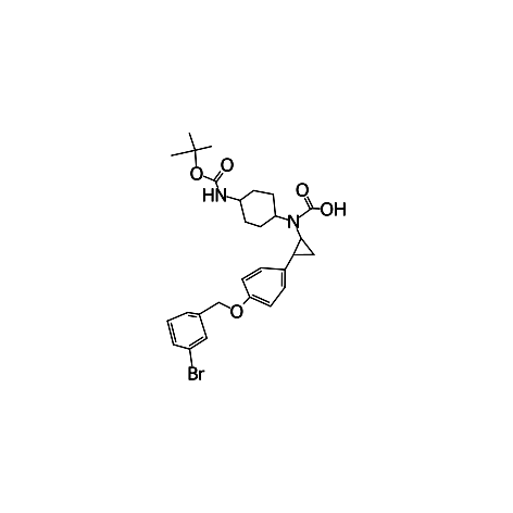 CC(C)(C)OC(=O)NC1CCC(N(C(=O)O)C2CC2c2ccc(OCc3cccc(Br)c3)cc2)CC1